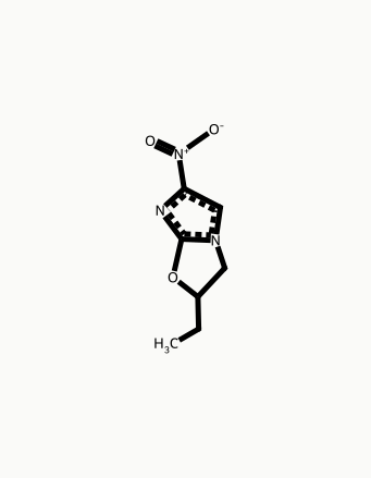 CCC1Cn2cc([N+](=O)[O-])nc2O1